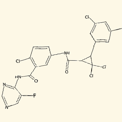 O=C(Nc1ncncc1F)c1cc(NC(=O)C2C(c3cc(Cl)cc(Cl)c3)C2(Cl)Cl)ccc1Cl